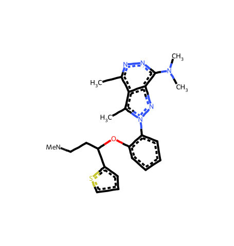 CNCCC(Oc1ccccc1-n1nc2c(N(C)C)nnc(C)c2c1C)c1cccs1